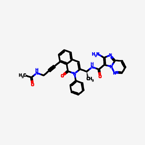 CC(=O)NCC#Cc1cccc2cc([C@@H](C)NC(=O)c3c(N)nc4cccnn34)n(-c3ccccc3)c(=O)c12